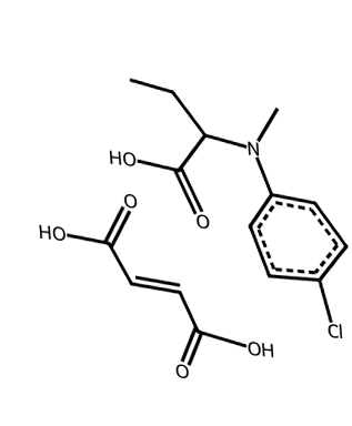 CCC(C(=O)O)N(C)c1ccc(Cl)cc1.O=C(O)C=CC(=O)O